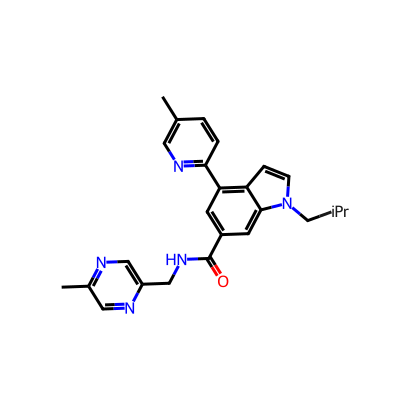 Cc1ccc(-c2cc(C(=O)NCc3cnc(C)cn3)cc3c2ccn3CC(C)C)nc1